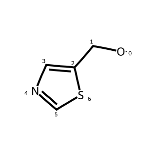 [O]Cc1cncs1